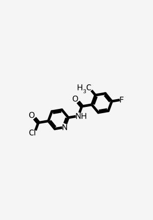 Cc1cc(F)ccc1C(=O)Nc1ccc(C(=O)Cl)cn1